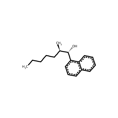 CCCCC[C@@H](C)[C@H](O)c1cccc2ccccc12